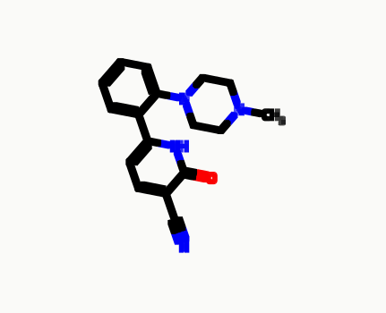 CN1CCN(c2ccccc2-c2ccc(C#N)c(=O)[nH]2)CC1